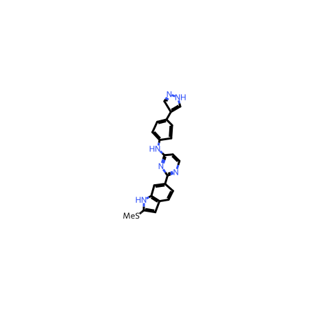 CSc1cc2ccc(-c3nccc(Nc4ccc(-c5cn[nH]c5)cc4)n3)cc2[nH]1